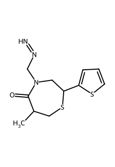 CC1CSC(c2cccs2)CN(CN=N)C1=O